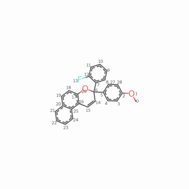 COc1ccc(C2(c3ccccc3F)C=Cc3c(ccc4ccccc34)O2)cc1